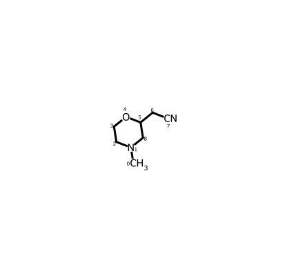 CN1CCOC(CC#N)C1